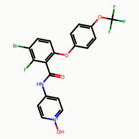 O=C(Nc1cc[n+](O)cc1)c1c(Oc2ccc(OC(F)(F)F)cc2)ccc(Br)c1F